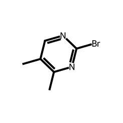 Cc1cnc(Br)nc1C